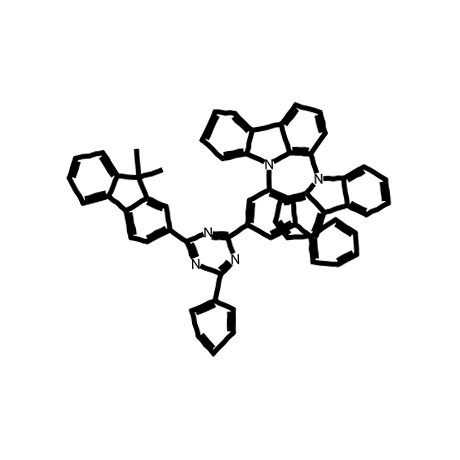 CC1(C)c2ccccc2-c2ccc(-c3nc(-c4ccccc4)nc(-c4cc(-c5ccccc5)cc(-n5c6ccccc6c6cccc(-n7c8ccccc8c8ccccc87)c65)c4)n3)cc21